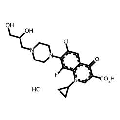 Cl.O=C(O)c1cn(C2CC2)c2c(F)c(N3CCN(CC(O)CO)CC3)c(Cl)cc2c1=O